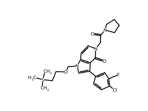 CS(C)(C)CCOCn1cc(-c2ccc(Cl)c(F)c2)c2c(=O)n(CC(=O)N3CCCC3)ccc21